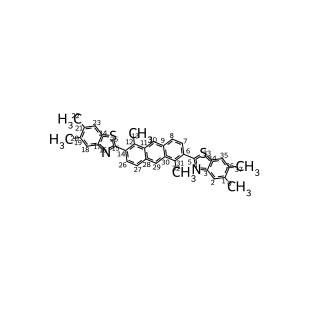 Cc1cc2nc(-c3ccc4cc5c(C)c(-c6nc7cc(C)c(C)cc7s6)ccc5cc4c3C)sc2cc1C